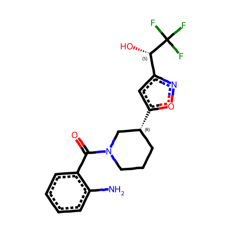 Nc1ccccc1C(=O)N1CCC[C@@H](c2cc([C@H](O)C(F)(F)F)no2)C1